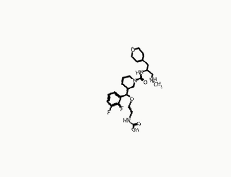 CNCC(CC1CCOCC1)NC(=O)N1CCCC(C(OCCNC(=O)O)c2cccc(F)c2F)C1